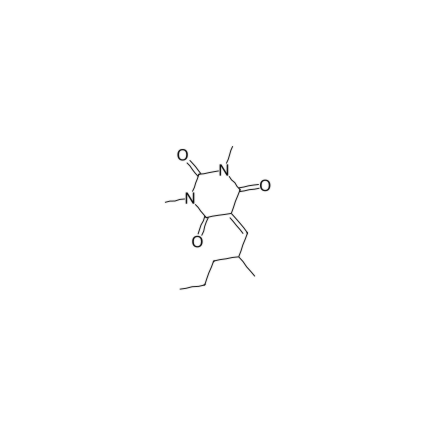 CCCC(C)C=C1C(=O)N(C)C(=O)N(C)C1=O